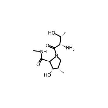 CNC(=O)[C@@H]1[C@@H](O)[C@@H](C)CN1C(=O)[C@@H](N)[C@@H](C)O